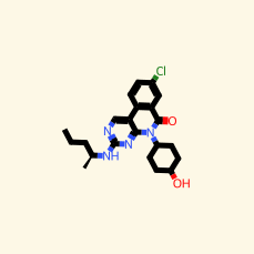 CCC[C@H](C)Nc1ncc2c3ccc(Cl)cc3c(=O)n(C3CCC(O)CC3)c2n1